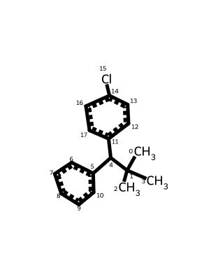 CC(C)(C)C(c1ccccc1)c1ccc(Cl)cc1